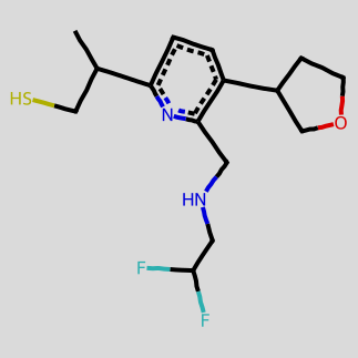 CC(CS)c1ccc(C2CCOC2)c(CNCC(F)F)n1